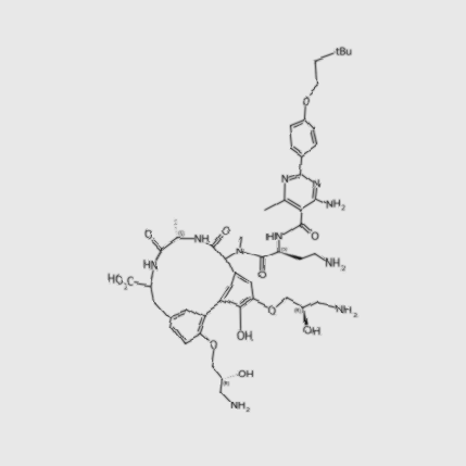 Cc1nc(-c2ccc(OCCC(C)(C)C)cc2)nc(N)c1C(=O)N[C@@H](CCN)C(=O)N(C)C1C(=O)N[C@@H](C)C(=O)NC(C(=O)O)Cc2ccc(OC[C@H](O)CN)c(c2)-c2cc1cc(OC[C@H](O)CN)c2O